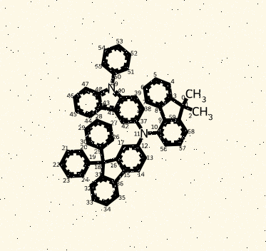 CC1(C)c2ccccc2-c2c(N(c3ccc4c(c3)C(c3ccccc3)(c3ccccc3)c3ccccc3-4)c3ccc4c(c3)c3ccccc3n4-c3ccccc3)cccc21